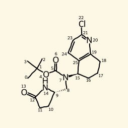 CC(C)(C)OC(=O)N(C[C@@H]1CCC(=O)N1)[C@@H]1CCCc2nc(Cl)ccc21